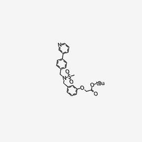 CC(C)(C)OC(=O)COc1cccc(CN(Cc2ccc(-c3cccnc3)cc2)S(C)(=O)=O)c1